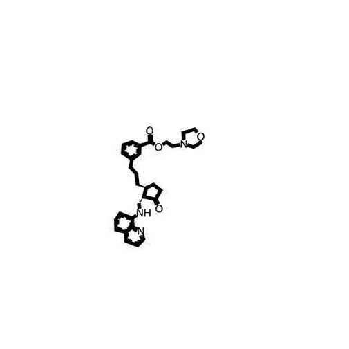 O=C(OCCN1CCOCC1)c1cccc(CCC[C@H]2CCC(=O)[C@@H]2CNc2cccc3cccnc23)c1